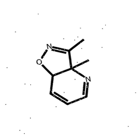 CC1=NOC2C=CC=NC12C